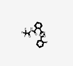 O=C(NC(=O)C(F)(F)F)c1ccccc1-c1noc(-c2ccccc2F)n1